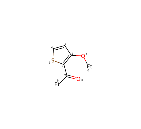 CCOc1ccsc1C(=O)CC